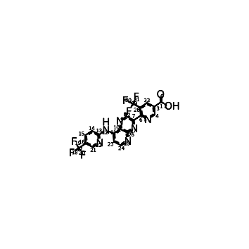 O=C(O)c1cnc(-c2cnc3c(Nc4ccc(C(F)(F)F)cn4)ccnc3n2)c(C(F)(F)F)c1